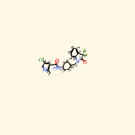 Cc1ncc(Cl)cc1C(=O)NC1CCC(CN2C(=O)C(F)(F)c3ccccc32)CC1